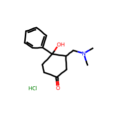 CN(C)CC1CC(=O)CCC1(O)c1ccccc1.Cl